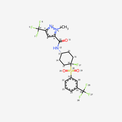 Cn1nc(C(F)(F)F)cc1C(=O)N[C@H]1CC[C@@](F)(S(=O)(=O)c2cccc(C(F)(F)F)c2)CC1